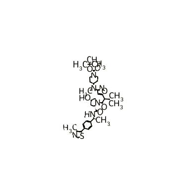 Cc1ncsc1-c1ccc([C@H](C)NC(=O)[C@@H]2C[C@@H](O)CN2C(=O)C(c2cc(N(C)C3CCN(C(=O)OC(C)(C)C)CC3)no2)C(C)C)cc1